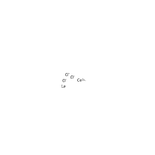 [Ce+3].[Cl-].[Cl-].[Cl-].[La]